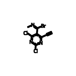 C#Cc1nc(Cl)nc(Cl)c1/C(Br)=N\C